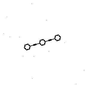 C(#Cc1ccc(C#Cc2ccccc2)cc1)c1ccccc1